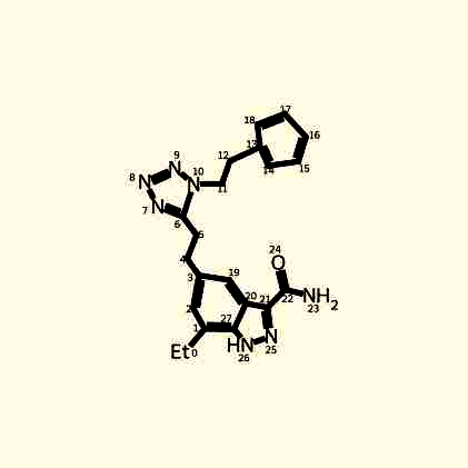 CCc1cc(C[CH]c2nnnn2CCc2ccccc2)cc2c(C(N)=O)n[nH]c12